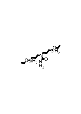 CCO[SiH2]CCCN(CCC[SiH2]OCC)C(N)=O